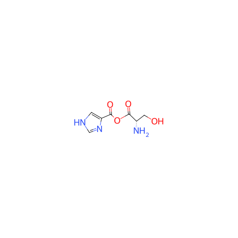 N[C@@H](CO)C(=O)OC(=O)c1c[nH]cn1